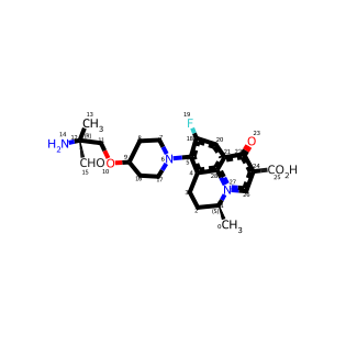 C[C@H]1CCc2c(N3CCC(OC[C@@](C)(N)C=O)CC3)c(F)cc3c(=O)c(C(=O)O)cn1c23